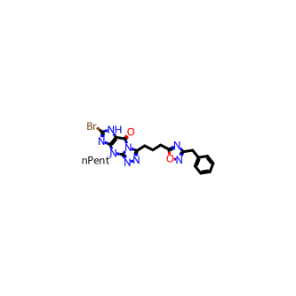 CCCCCn1c2nc(Br)[nH]c2c(=O)n2c(CCCc3nc(Cc4ccccc4)no3)nnc12